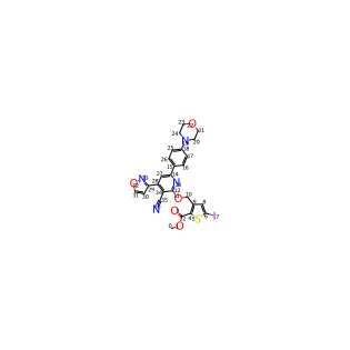 COC(=O)c1sc(I)cc1COc1nc(-c2ccc(N3CCOCC3)cc2)cc(-c2ccon2)c1C#N